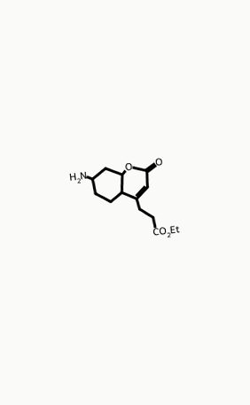 CCOC(=O)CCC1=CC(=O)OC2CC(N)CCC12